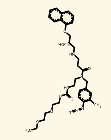 CCOCCOCCOC(=O)NCCN(Cc1ccc(N=[N+]=[N-])c(C)c1)C(=O)CCNC[C@H](O)COc1cccc2ccccc12